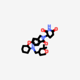 CC1(C)CC(CN[C@H]2CCCCC2Oc2ccc3c(c2)CN(C2CCC(=O)NC2=O)C3=O)CCO1